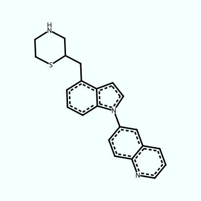 c1cnc2ccc(-n3ccc4c(CC5CNCCS5)cccc43)cc2c1